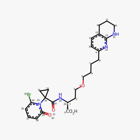 O=C(O)[C@H](CCOCCCCc1ccc2c(n1)NCCC2)NC(=O)C1(n2c(Br)cccc2=O)CC1